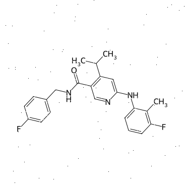 Cc1c(F)cccc1Nc1cc(C(C)C)c(C(=O)NCc2ccc(F)cc2)cn1